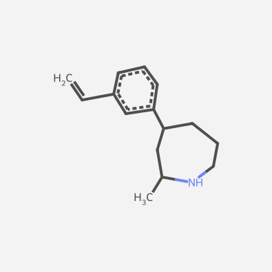 C=Cc1cccc(C2CCCNC(C)C2)c1